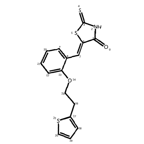 O=C1NC(=S)S/C1=C\c1ccccc1OCCc1cccs1